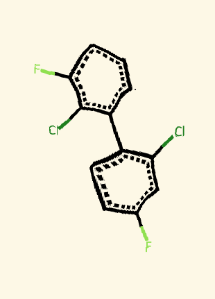 Fc1ccc(-c2[c]ccc(F)c2Cl)c(Cl)c1